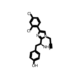 C#CCn1cc(-c2ccc(Cl)cc2Cl)nc1[C@@H](N)Cc1ccc(O)cc1